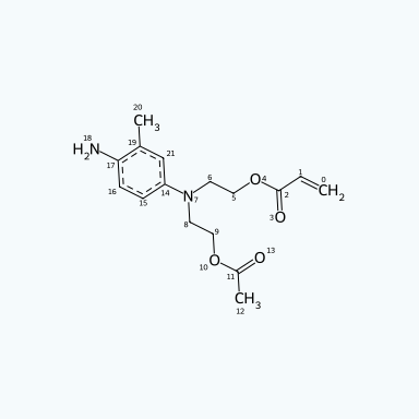 C=CC(=O)OCCN(CCOC(C)=O)c1ccc(N)c(C)c1